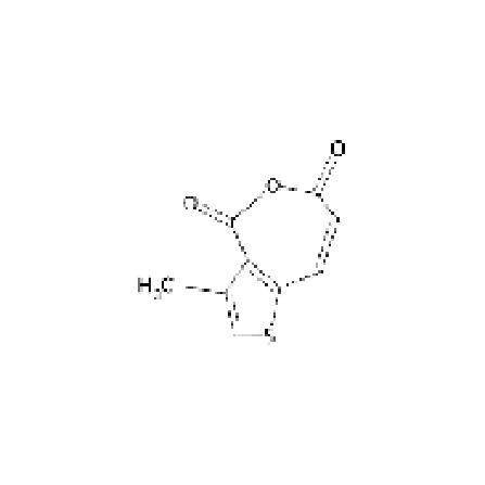 Cc1csc2ccc(=O)oc(=O)c12